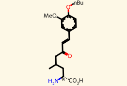 CCCCOc1ccc(C=CC(=O)CC(C)C[C@@H](N)C(=O)O)cc1OC